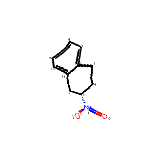 O=[N+]([O-])[C@H]1CCc2ccccc2C1